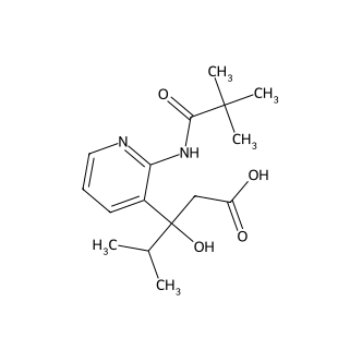 CC(C)C(O)(CC(=O)O)c1cccnc1NC(=O)C(C)(C)C